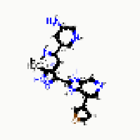 C=c1[nH]nc(-c2nc3c(-c4ccsc4)cncc3[nH]2)/c1=C/C(=N\C)c1cncc(N)c1